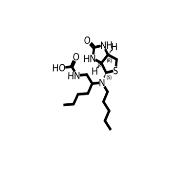 CCCCCN(C(CCCC)CNC(=O)O)[C@H]1SC[C@@H]2NC(=O)N[C@@H]21